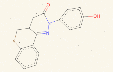 O=C1CC2CSc3ccccc3C2=NN1c1ccc(O)cc1